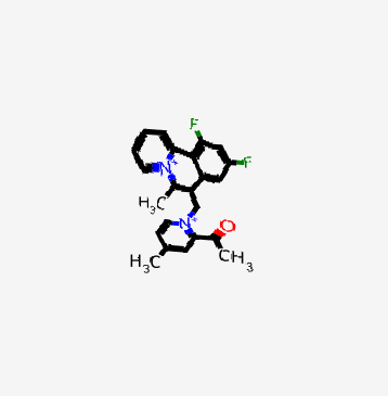 CC(=O)c1cc(C)cc[n+]1CC1c2cc(F)cc(F)c2-c2cccc[n+]2C1C